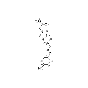 CC(C)(C)C(=O)CN1CC2CN(CCOc3ccc(C#N)cc3)CC2C1